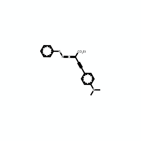 CCOC(=O)C(=C=NSc1ccccc1)C#Cc1ccc(N(C)C)cc1